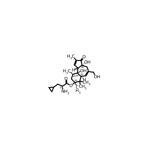 CC1=C[C@H]2[C@@]3(O)[C@H](C)C[C@@](C)(OC(=O)[C@@H](N)CC4CC4)C(C)(C)[C@@H]3C=C(CO)C[C@]2(O)C1=O